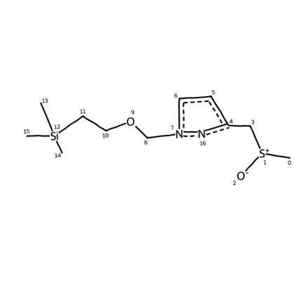 C[S+]([O-])Cc1ccn(COCC[Si](C)(C)C)n1